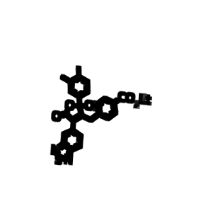 CCOC(=O)c1ccc(CC2=C(c3ccc4nsnc4c3)C(=O)OC2(O)c2ccc(C)c(C)c2)cc1